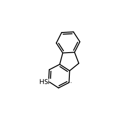 [c]1c[siH]cc2c1Cc1ccccc1-2